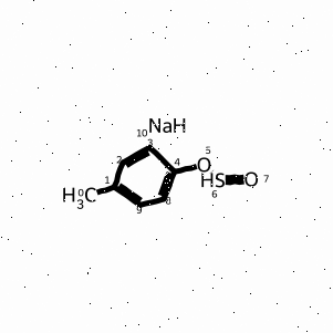 Cc1ccc(O[SH]=O)cc1.[NaH]